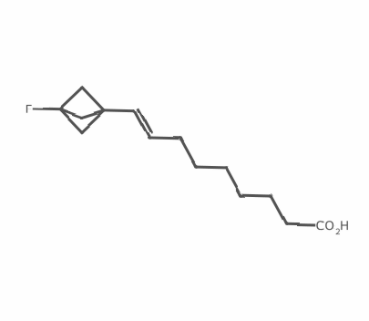 O=C(O)CCCCCCC=CC12CC(F)(C1)C2